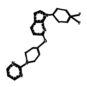 FC1(F)CCC(n2ccc3ccc(OC4CCN(c5ncccn5)CC4)nc32)CC1